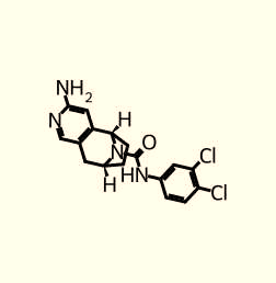 Nc1cc2c(cn1)C[C@H]1CC[C@@H]2N1C(=O)Nc1ccc(Cl)c(Cl)c1